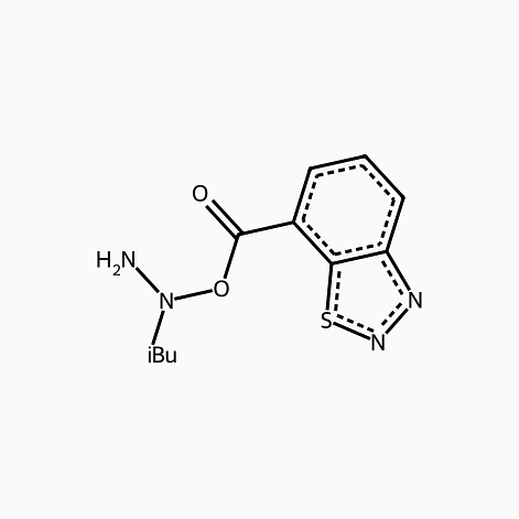 CCC(C)N(N)OC(=O)c1cccc2nnsc12